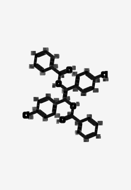 O=C(O/C(=C(/OC(=O)c1ccccc1)c1ccc(Cl)cc1)c1ccc(Cl)cc1)c1ccccc1